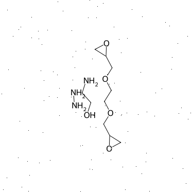 C(COCC1CO1)OCC1CO1.NCCO.NN